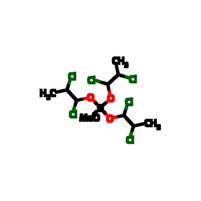 CO[Si](OC(Cl)C(C)Cl)(OC(Cl)C(C)Cl)OC(Cl)C(C)Cl